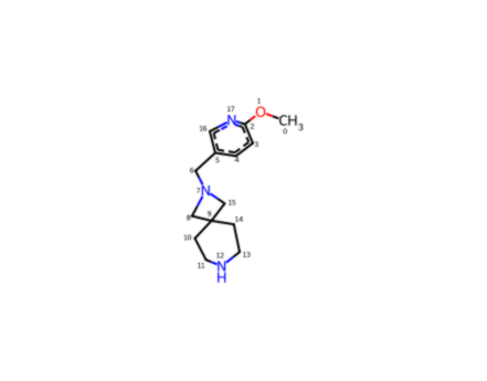 COc1ccc(CN2CC3(CCNCC3)C2)cn1